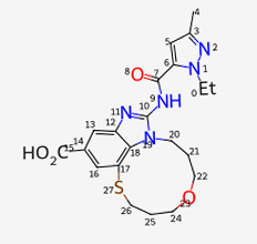 CCn1nc(C)cc1C(=O)Nc1nc2cc(C(=O)O)cc3c2n1CCCOCCCS3